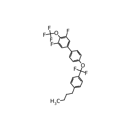 CCCCc1ccc(C(F)(F)Oc2ccc(-c3cc(F)c(OC(F)(F)F)c(F)c3)cc2)cc1